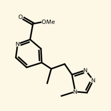 COC(=O)c1cc(C(C)Cc2nncn2C)ccn1